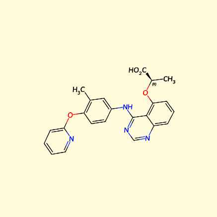 Cc1cc(Nc2ncnc3cccc(O[C@H](C)C(=O)O)c23)ccc1Oc1ccccn1